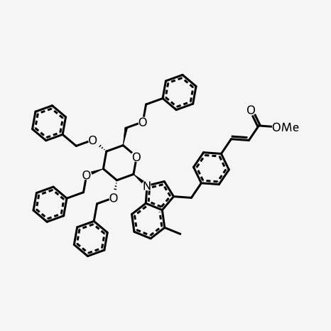 COC(=O)/C=C/c1ccc(Cc2cn([C@@H]3O[C@H](COCc4ccccc4)[C@@H](OCc4ccccc4)[C@H](OCc4ccccc4)[C@H]3OCc3ccccc3)c3cccc(C)c23)cc1